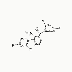 Nc1c(C(=O)c2ccc(F)cc2F)ccnc1-c1ccc(F)cc1F